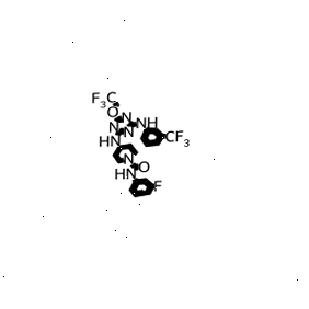 O=C(Nc1cccc(F)c1)N1CCC(Nc2nc(Nc3cccc(C(F)(F)F)c3)nc(OCC(F)(F)F)n2)CC1